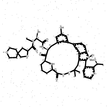 CCn1c(-c2cccnc2[C@H](C)OC)c2c3cc(ccc31)-c1cc(O)cc(c1)C[C@H](NC(=O)[C@H](C(C)C)N(C)C(=O)C1CC3(CCOCC3)CO1)C(=O)C1CCC[C@H](N1)C(=O)OCC(C)(C)C2